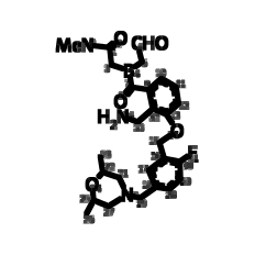 CNC(=O)CB(CC=O)C(=O)c1cccc(OCc2cc(CN3CC(C)OC(C)C3)ccc2F)c1CN